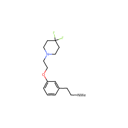 CNCCc1cccc(OCCN2CCC(F)(F)CC2)c1